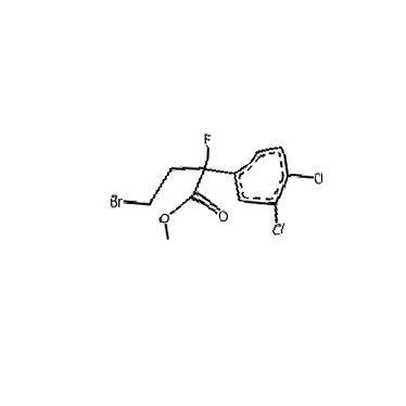 COC(=O)C(F)(CCBr)c1ccc(Cl)c(Cl)c1